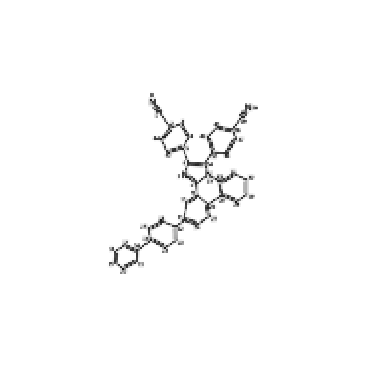 N#Cc1ccc(-c2nc3c4cc(-c5ccc(-c6ccccc6)cc5)ccc4c4ccccc4n3c2-c2ccc(C#N)cc2)cc1